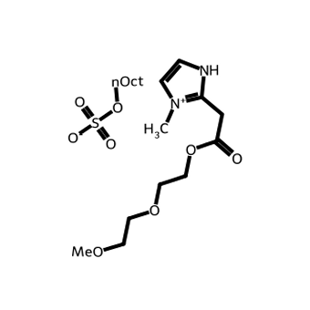 CCCCCCCCOS(=O)(=O)[O-].COCCOCCOC(=O)Cc1[nH]cc[n+]1C